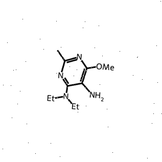 CCN(CC)c1nc(C)nc(OC)c1N